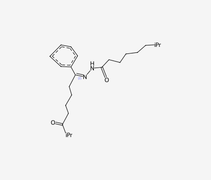 CC(C)CCCCCC(=O)N/N=C(/CCCCC(=O)C(C)C)c1ccccc1